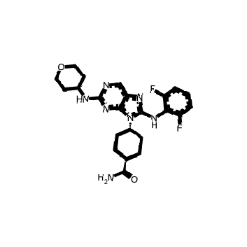 NC(=O)[C@H]1CC[C@H](n2c(Nc3c(F)cccc3F)nc3cnc(NC4CCOCC4)nc32)CC1